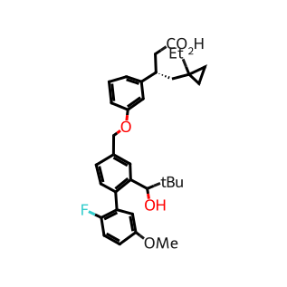 CCC1(C[C@@H](CC(=O)O)c2cccc(OCc3ccc(-c4cc(OC)ccc4F)c(C(O)C(C)(C)C)c3)c2)CC1